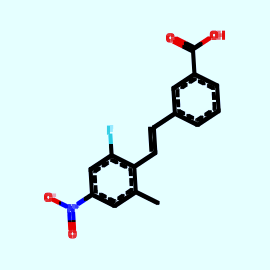 Cc1cc([N+](=O)[O-])cc(F)c1/C=C/c1cccc(C(=O)O)c1